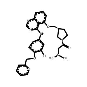 CN(C)CC(=O)N1CC[C@H](COc2cccc3ncnc(Nc4ccc(OCc5ccccn5)c(Cl)c4)c23)C1